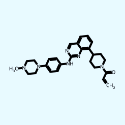 C=CC(=O)N1CCC(c2cccc3cnc(Nc4ccc(N5CCN(C)CC5)cc4)nc23)CC1